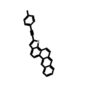 Cc1ccc(C#Cc2cc3ccc4c5cc6ccccc6cc5ccc4c3s2)cc1